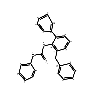 O=C(Oc1ccccc1)Oc1c(Cc2ccccc2)cccc1-c1ccccc1